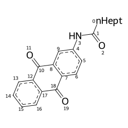 CCCCCCCC(=O)Nc1ccc2c(c1)C(=O)c1ccccc1C2=O